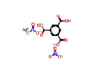 O=C(O)c1cc(C(=O)O)cc(C(=O)O)c1.O=[N+]([O-])[O-].O=[N+]([O-])[O-].[Ni+2]